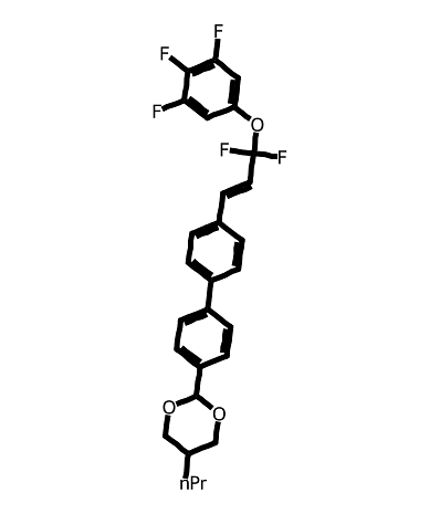 CCCC1COC(c2ccc(-c3ccc(/C=C/C(F)(F)Oc4cc(F)c(F)c(F)c4)cc3)cc2)OC1